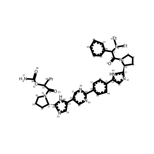 CCN(CC)C(C(=O)N1CCC[C@H]1c1ncc(-c2ccc(-c3ncc(-c4cnc([C@@H]5CCCN5C(=O)C(OC(N)=O)C(C)C)[nH]4)cn3)cc2)[nH]1)c1ccccc1